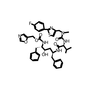 CC(C)[C@H](NC(=O)N(C)Cc1csc(-c2ccc(F)cc2)n1)C(=O)N[C@@H](Cc1ccccc1)C[C@H](O)[C@H](Cc1ccccc1)NC(=O)OCc1cnco1